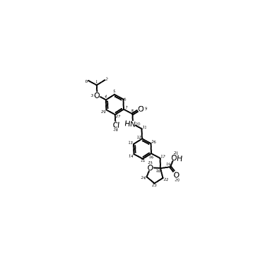 CC(C)Oc1ccc(C(=O)NCc2cccc(CC3(C(=O)O)CCCO3)c2)c(Cl)c1